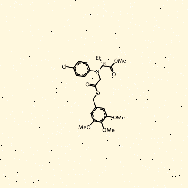 CC[C@H](C(=O)OC)N(CC(=O)OCc1cc(OC)c(OC)c(OC)c1)c1ccc(Cl)cc1